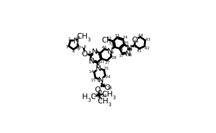 CN1CCC[C@H]1COc1nc2c(c(N3CCN(C(=O)OC(C)(C)C)CC3)n1)CCN(c1c(Cl)ccc3c1cnn3C1CCCCO1)C2